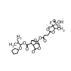 CC(C)C(OC(=O)C1C2OC3C(OC(=O)C31)C2OC(=O)CCC(=O)OC(C)C(F)(F)S(=O)(=O)O)OC1CCCC1